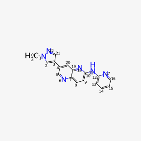 Cn1cc(-c2cnc3ccc(Nc4ccccn4)nc3c2)cn1